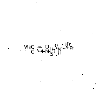 COC(=O)c1ccc(C(=O)Nc2nc(C(=O)NCCN(C(C)C)C(C)C)cs2)cc1